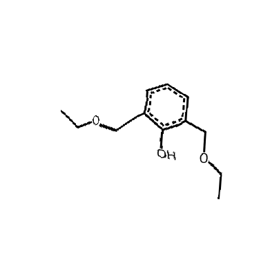 CCOCc1cccc(COCC)c1O